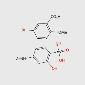 CC(=O)Nc1ccc([As](=O)(O)O)c(O)c1.COc1ccc(Br)cc1C(=O)O